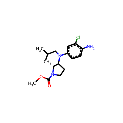 COC(=O)N1CCC(N(CC(C)C)c2ccc(N)c(Cl)c2)C1